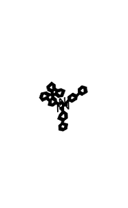 C1=CCC(c2ccc(-c3nc(-c4ccc(-c5ccccc5)cc4)nc(-c4ccc5c(c4)C4(c6ccccc6-c6ccccc64)c4ccccc4-5)n3)cc2)C=C1